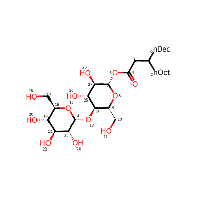 CCCCCCCCCCC(CCCCCCCC)CC(=O)O[C@@H]1O[C@H](CO)[C@@H](O[C@H]2O[C@H](CO)[C@@H](O)[C@H](O)[C@H]2O)[C@H](O)[C@H]1O